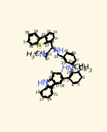 CC1CC=CC(c2ccc3[nH]c4ccccc4c3c2)=C1NC1(C)C=C(CNC(c2cccc3c2sc2ccccc23)C2CN2C)C=CC1